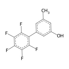 Cc1cc(O)cc(-c2c(F)c(F)c(F)c(F)c2F)c1